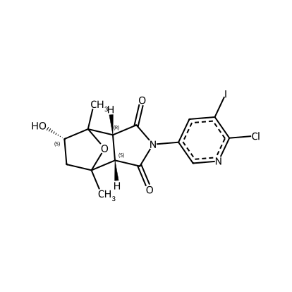 CC12C[C@H](O)C(C)(O1)[C@@H]1C(=O)N(c3cnc(Cl)c(I)c3)C(=O)[C@@H]12